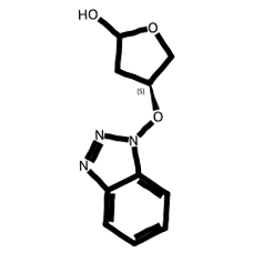 OC1C[C@H](On2nnc3ccccc32)CO1